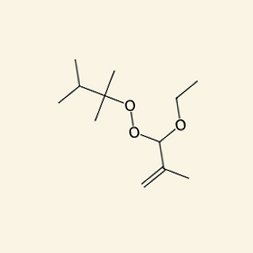 C=C(C)C(OCC)OOC(C)(C)C(C)C